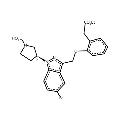 CCOC(=O)Cc1ccccc1OCc1nn([C@H]2CCN(C(=O)O)C2)c2ccc(Br)cc12